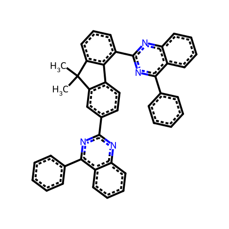 CC1(C)c2cc(-c3nc(-c4ccccc4)c4ccccc4n3)ccc2-c2c(-c3nc(-c4ccccc4)c4ccccc4n3)cccc21